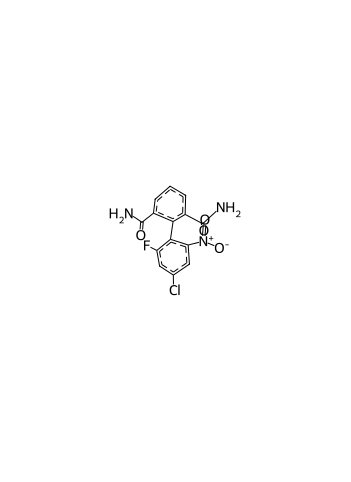 NC(=O)c1cccc(C(N)=O)c1-c1c(F)cc(Cl)cc1[N+](=O)[O-]